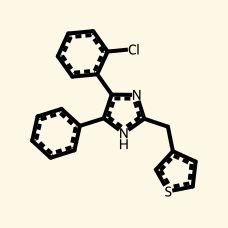 Clc1ccccc1-c1nc(Cc2ccsc2)[nH]c1-c1ccccc1